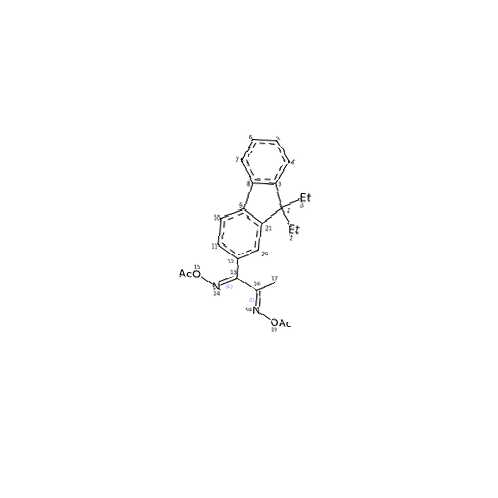 CCC1(CC)c2ccccc2-c2ccc(C(=N\OC(C)=O)/C(C)=N/OC(C)=O)cc21